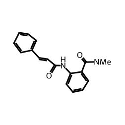 CNC(=O)c1ccccc1NC(=O)/C=C/c1ccccc1